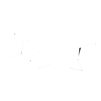 CC(C)(C)OC(=O)C(C)(C)CCC[C@H]1C[C@@H]1CO